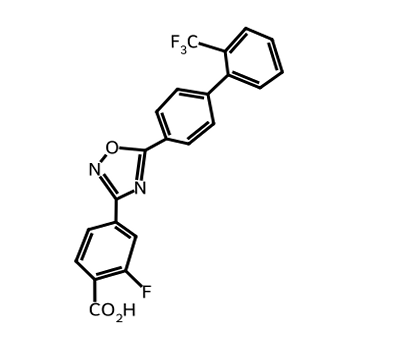 O=C(O)c1ccc(-c2noc(-c3ccc(-c4ccccc4C(F)(F)F)cc3)n2)cc1F